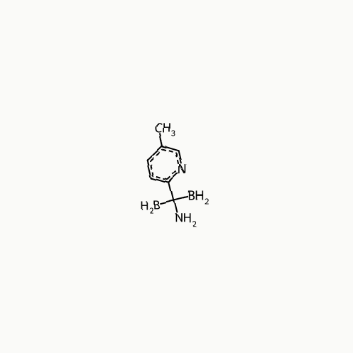 BC(B)(N)c1ccc(C)cn1